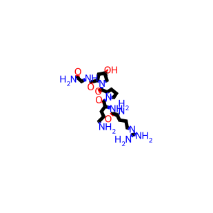 NCCCC(NC(=O)[C@H](N)CCCN=C(N)N)C(=O)N1CCCC1C(=O)N1C[C@H](O)CC1C(=O)NCC(N)=O